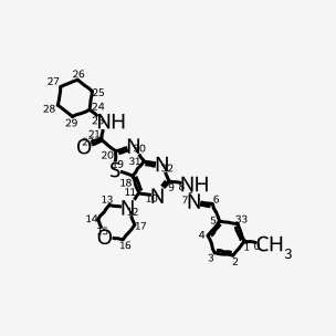 Cc1cccc(/C=N/Nc2nc(N3CCOCC3)c3sc(C(=O)NC4CCCCC4)nc3n2)c1